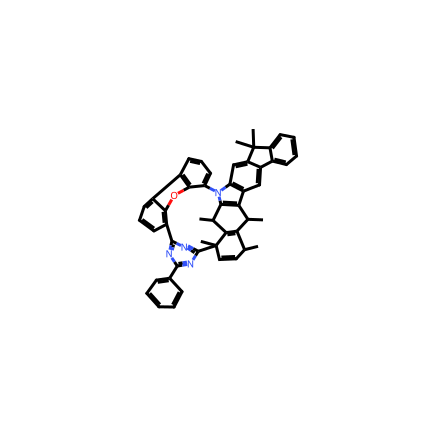 CC1C=CC2(C)C3=C1C(C)c1c(n(c4cc5c(cc14)-c1ccccc1C5(C)C)-c1cccc4c1oc1c(cccc14)-c1nc(-c4ccccc4)nc2n1)C3C